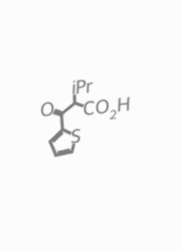 CC(C)C(C(=O)O)C(=O)c1cccs1